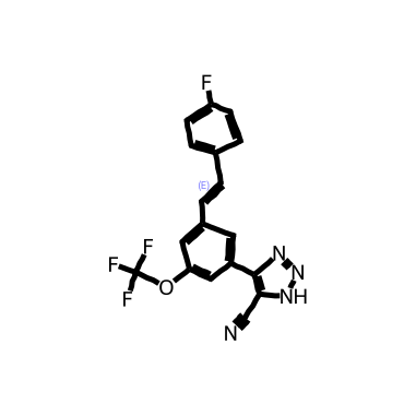 N#Cc1[nH]nnc1-c1cc(/C=C/c2ccc(F)cc2)cc(OC(F)(F)F)c1